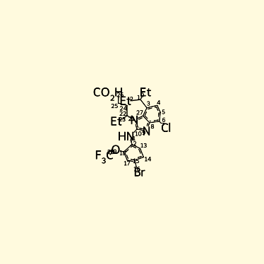 CCC(CC)c1ccc(Cl)c2nc(Nc3ccc(Br)cc3OC(F)(F)F)n(C(CC)CCC(=O)O)c12